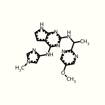 COc1cnc(C(C)Nc2nc(Nc3cn(C)cn3)c3cc[nH]c3n2)nc1